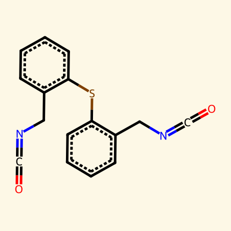 O=C=NCc1ccccc1Sc1ccccc1CN=C=O